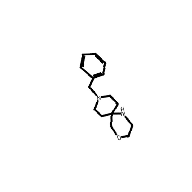 c1ccc(CN2CCC3(CC2)COCCN3)cc1